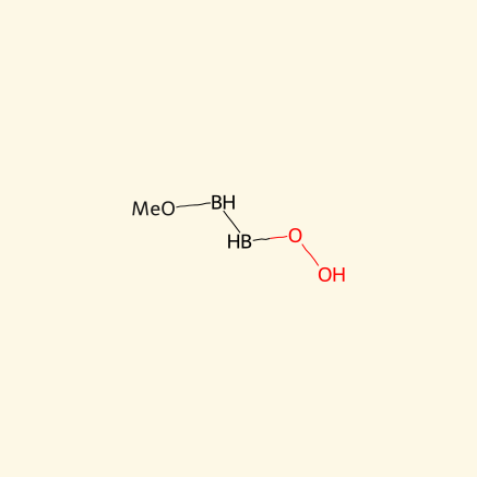 COBBOO